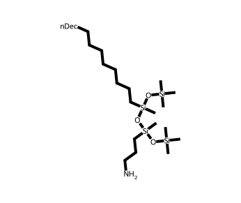 CCCCCCCCCCCCCCCCCC[Si](C)(O[Si](C)(C)C)O[Si](C)(CCCN)O[Si](C)(C)C